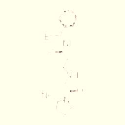 CCC(NC(=O)CCNCC(=O)N1CCCC1C#N)c1ccccc1